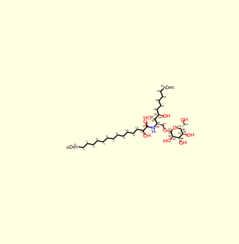 CCCCCCCCCCCCCCCCCCCCCCC(O)C(=O)N[C@H](CO[C@H]1O[C@H](CO)[C@@H](O)[C@H](O)[C@H]1O)[C@H](O)[C@H](O)CCCCCCCCCCCCCCC